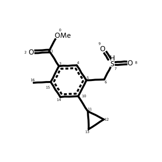 COC(=O)c1cc(C[SH](=O)=O)c(C2CC2)cc1C